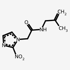 C=C(C)CNC(=O)Cn1ccnc1[N+](=O)[O-]